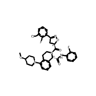 COC1CCN(c2cccc3c2CCN(C(=O)[C@H]2CC(c4cccc(Cl)c4F)=NO2)[C@@H]3C(=O)Nc2ccccc2F)CC1